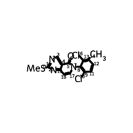 CSc1ncc2c(=O)n(-c3c(Cl)ccc(C)c3Cl)ccc2n1